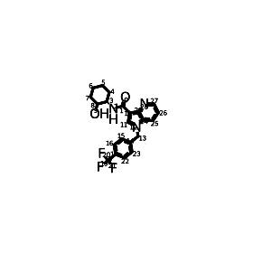 O=C(N[C@H]1CCCCC1O)c1cn(Cc2ccc(C(F)(F)F)cc2)c2cccnc12